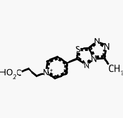 Cc1nnc2sc(-c3cc[n+](CCC(=O)O)cc3)nn12